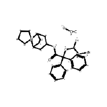 CCCSC(CC)OC(C(=O)OC1CC2CCC(C1)[N+]21CCCC1)(c1ccccc1)c1ccccc1.O=C[O-]